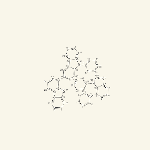 c1ccc(-c2cccc3nc(-c4cccc(-n5c6ccccc6c6cc(-c7cccc8c7sc7ccccc78)ccc65)c4)n(-c4ccccc4)c23)cc1